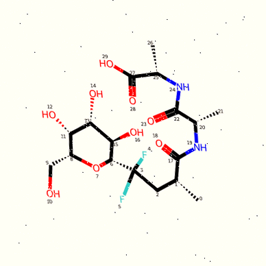 C[C@H](CC(F)(F)[C@@H]1O[C@H](CO)[C@H](O)[C@H](O)[C@H]1O)C(=O)N[C@@H](C)C(=O)N[C@@H](C)C(=O)O